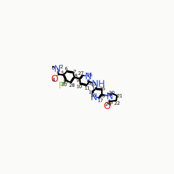 CN(C)C(=O)c1ccc(-c2ccc(Nc3cncc(N4CCCC4=O)c3)nc2)cc1F